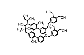 Cc1cc(CC(C)(C)C(O)C(c2ccc(-c3cccc(OCc4ccc(CO)c(CO)c4)c3)c(C)c2)C(C)CO)ccc1-c1cccc(OCc2ccc(CO)c(CO)c2)c1